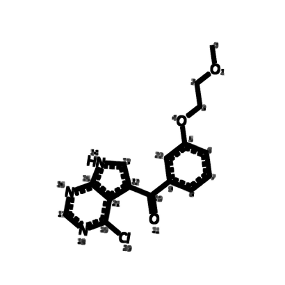 COCCOc1cccc(C(=O)c2c[nH]c3ncnc(Cl)c23)c1